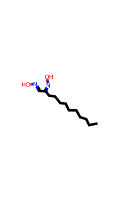 CCCCCCCCCCC(C=NO)=NO